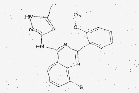 CCc1cccc2c(Nc3n[nH]c(C)n3)nc(-c3ccccc3OC(F)(F)F)nc12